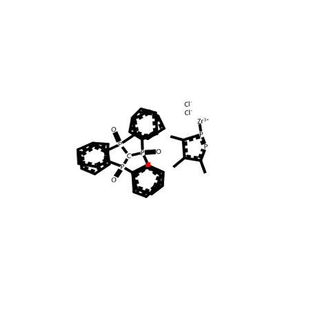 Cc1p[p]([Zr+3])c(C)c1C.O=P(c1ccccc1)(c1ccccc1)[C-](P(=O)(c1ccccc1)c1ccccc1)P(=O)(c1ccccc1)c1ccccc1.[Cl-].[Cl-]